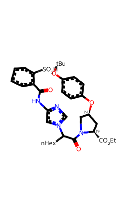 CCCCCCC(C(=O)N1C[C@@H](Oc2ccc(OC(C)(C)C)cc2)C[C@H]1C(=O)OCC)n1cnc(NC(=O)c2ccccc2S(=O)(=O)O)c1